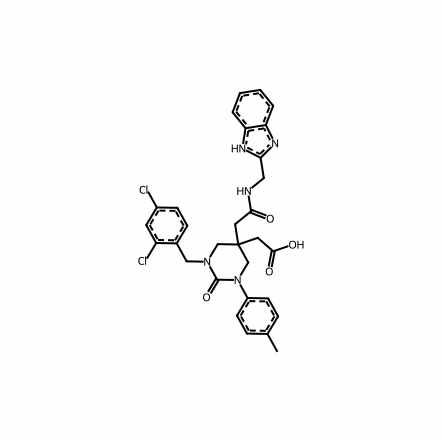 Cc1ccc(N2CC(CC(=O)O)(CC(=O)NCc3nc4ccccc4[nH]3)CN(Cc3ccc(Cl)cc3Cl)C2=O)cc1